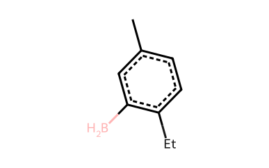 Bc1cc(C)ccc1CC